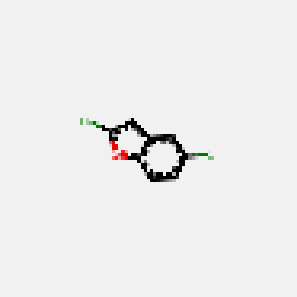 Clc1ccc2oc(Br)cc2c1